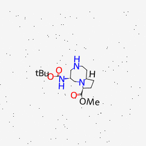 COC(=O)[C@@H]1CC[C@@H]2CCNC[C@H](NC(=O)OC(C)(C)C)CN21